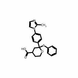 Cc1nccn1-c1ccc(C2(Sc3ccccc3)CC(C(=O)O)CCO2)cc1